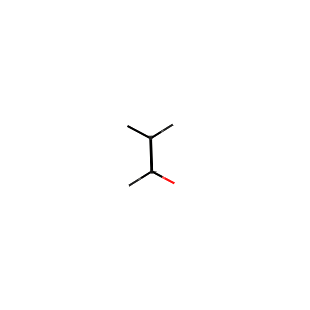 CC(C(=O)O)C(O)C(C)(C)C